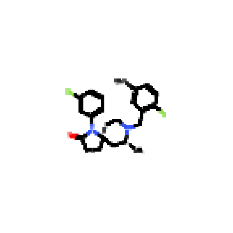 COc1ccc(F)c(CN2CC[C@@]3(CCC(=O)N3c3cccc(F)c3)C[C@H]2C)c1